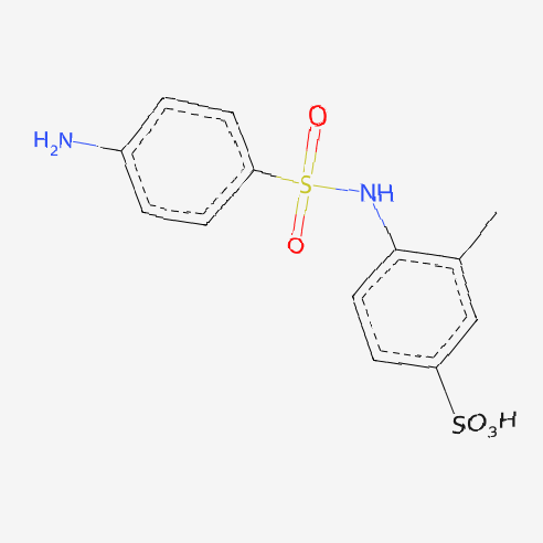 Cc1cc(S(=O)(=O)O)ccc1NS(=O)(=O)c1ccc(N)cc1